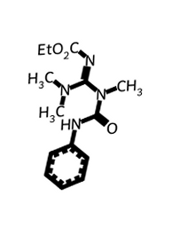 CCOC(=O)N=C(N(C)C)N(C)C(=O)Nc1ccccc1